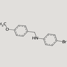 COc1ccc(CNc2ccc(Br)cc2)cc1